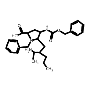 CCCC(CC1C(NC(=O)OCc2ccccc2)CC(C(=O)O)N1Cc1ccccc1)C(C)N